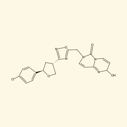 O=C1N(Cc2nc([C@@H]3CO[C@@H](c4ccc(Cl)cc4)C3)no2)C=CC2=NC(O)C=CN12